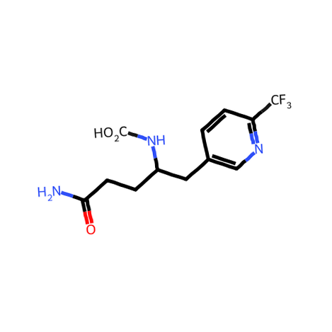 NC(=O)CCC(Cc1ccc(C(F)(F)F)nc1)NC(=O)O